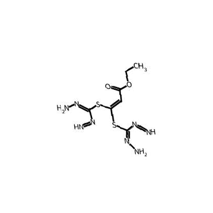 CCOC(=O)C=C(SC(N=N)=NN)SC(N=N)=NN